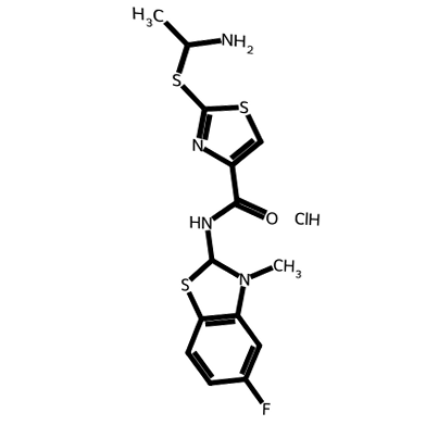 CC(N)Sc1nc(C(=O)NC2Sc3ccc(F)cc3N2C)cs1.Cl